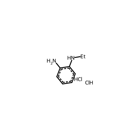 CCNc1ccccc1N.Cl.Cl